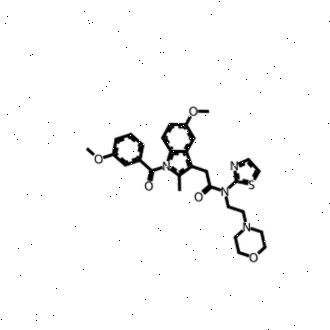 COc1cccc(C(=O)n2c(C)c(CC(=O)N(CCN3CCOCC3)c3nccs3)c3cc(OC)ccc32)c1